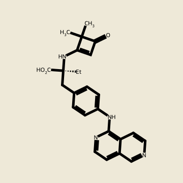 CC[C@@](Cc1ccc(Nc2nccc3cnccc23)cc1)(NC1=CC(=O)C1(C)C)C(=O)O